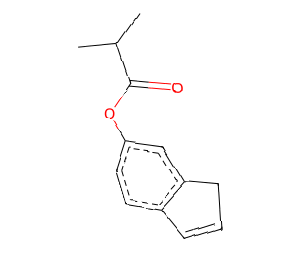 CC(C)C(=O)Oc1ccc2c(c1)CC=C2